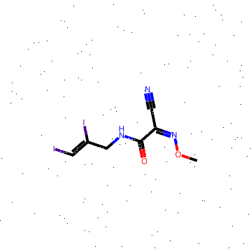 CON=C(C#N)C(=O)NCC(I)=CI